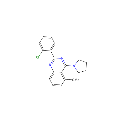 COc1cccc2nc(-c3ccccc3Cl)nc(N3CCCC3)c12